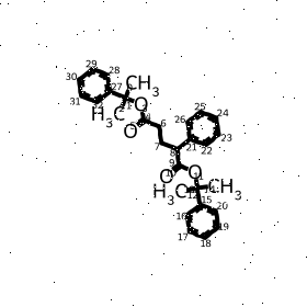 CC(C)(OC(=O)CCC(C(=O)OC(C)(C)c1ccccc1)c1ccccc1)c1ccccc1